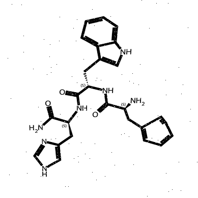 NC(=O)[C@H](Cc1c[nH]cn1)NC(=O)[C@H](Cc1c[nH]c2ccccc12)NC(=O)[C@@H](N)Cc1ccccc1